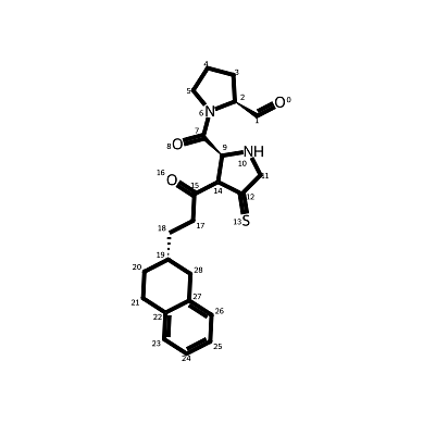 O=C[C@@H]1CCCN1C(=O)[C@H]1NCC(=S)C1C(=O)CC[C@H]1CCc2ccccc2C1